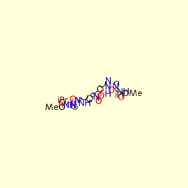 COC(=O)N[C@H](C(=O)N1CCC[C@H]1c1ncc(-c2ccc3c(c2)cc2c4ccc(-c5cnc([C@@H]6CCCN6C(=O)[C@@H](NC(=O)OC)C(C)C)[nH]5)cc4oc(=O)n32)[nH]1)C(C)C